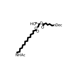 CCCCCCCCCCCCCCC(=O)O[C@@H](CO)COC(=O)CCCCCCCCCCCCCNC(C)=O